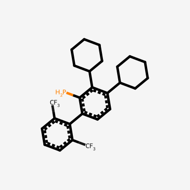 FC(F)(F)c1cccc(C(F)(F)F)c1-c1ccc(C2CCCCC2)c(C2CCCCC2)c1P